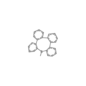 CB1c2ccccc2-c2ccccc2-c2ccccc2-c2ccccc21